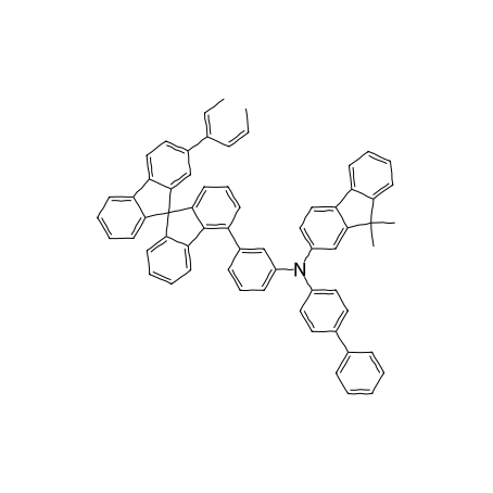 C/C=C\C(=C/C)c1ccc2c(c1)C1(c3ccccc3-2)c2ccccc2-c2c(-c3cccc(N(c4ccc(-c5ccccc5)cc4)c4ccc5c(c4)C(C)(C)c4ccccc4-5)c3)cccc21